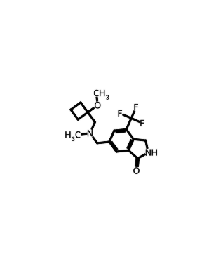 COC1(CN(C)Cc2cc3c(c(C(F)(F)F)c2)CNC3=O)CCC1